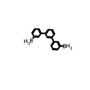 Bc1cccc(-c2cccc(-c3cccc(B)c3)c2)c1